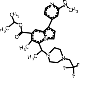 CNc1cc(-c2ccn3c(C(C)N4CCN(CC(F)(F)F)CC4)c(C)c(C(=O)OC(C)C)cc23)ccn1